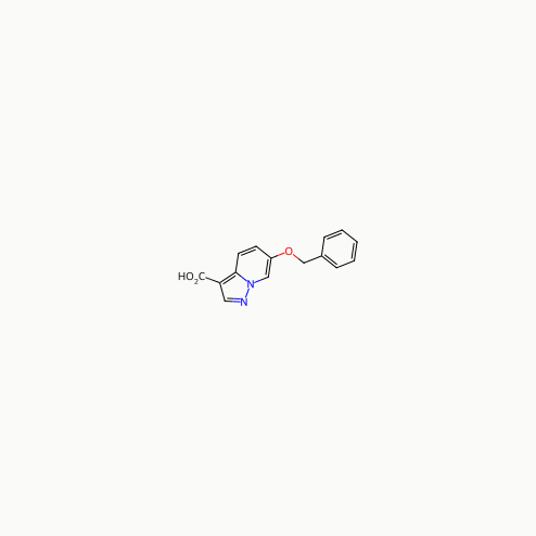 O=C(O)c1cnn2cc(OCc3ccccc3)ccc12